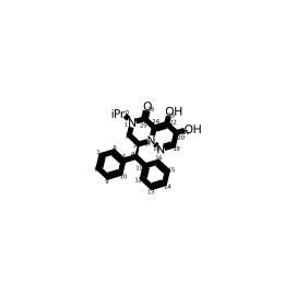 CC(C)N1C[C@H](C(c2ccccc2)c2ccccc2)N2N=CC(O)C(O)=C2C1=O